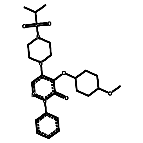 COC1CCC(Oc2c(N3CCN(S(=O)(=O)C(C)C)CC3)cnn(-c3ccccc3)c2=O)CC1